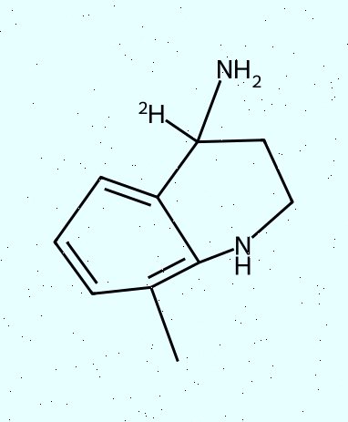 [2H]C1(N)CCNc2c(C)cccc21